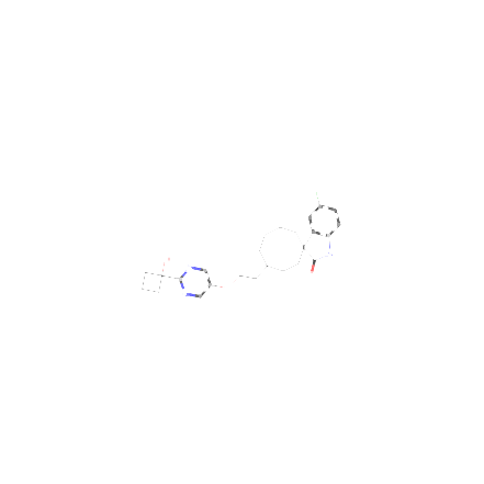 O=C1Nc2ccc(Cl)cc2C12CCCCC(CCOc1cnc(C3(O)CCC3)nc1)CC2